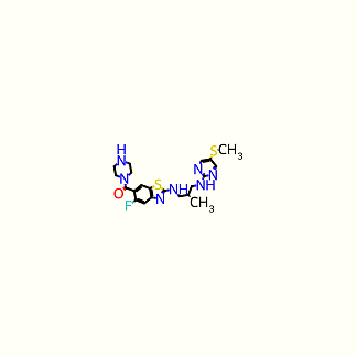 CSc1cnc(NC[C@H](C)CNc2nc3cc(F)c(C(=O)N4CCNCC4)cc3s2)nc1